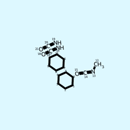 C1CCCCC1.C1CCCCC1.CN=C=O.N=C=O.N=C=O